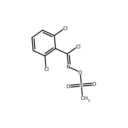 CS(=O)(=O)ON=C(Cl)c1c(Cl)cccc1Cl